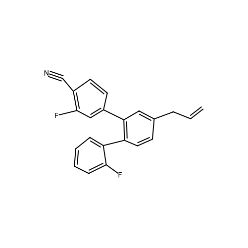 C=CCc1ccc(-c2ccccc2F)c(-c2ccc(C#N)c(F)c2)c1